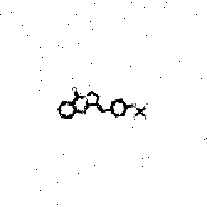 O=c1c2ccccc2nc2n1CC/C2=C\c1ccc(OC(F)(F)F)cc1